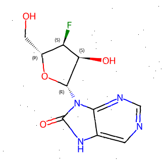 O=c1[nH]c2cncnc2n1[C@@H]1O[C@H](CO)[C@@H](F)[C@H]1O